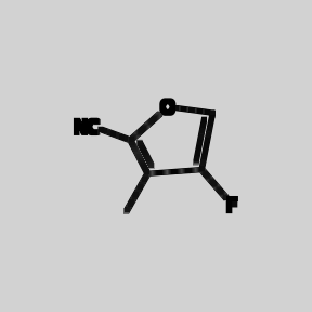 Cc1c(F)coc1C#N